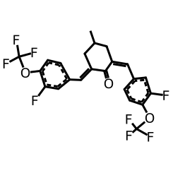 CC1CC(=Cc2ccc(OC(F)(F)F)c(F)c2)C(=O)C(=Cc2ccc(OC(F)(F)F)c(F)c2)C1